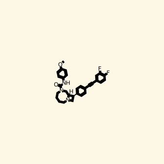 COc1ccc(NC(=O)N2CCCCN3C[C@H](c4ccc(C#Cc5ccc(F)c(F)c5)cc4)[C@@H]3C2)cc1